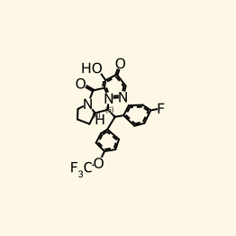 O=C1c2c(O)c(=O)cnn2[C@@H](C(c2ccc(F)cc2)c2ccc(OC(F)(F)F)cc2)[C@H]2CCCN12